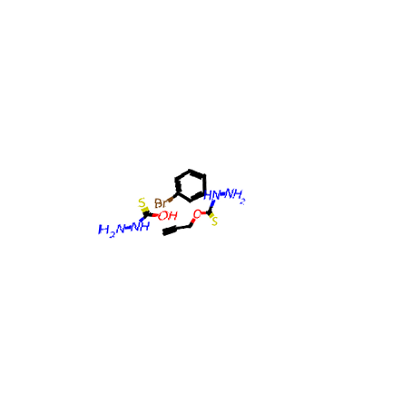 Brc1ccccc1.C#CCOC(=S)NN.NNC(O)=S